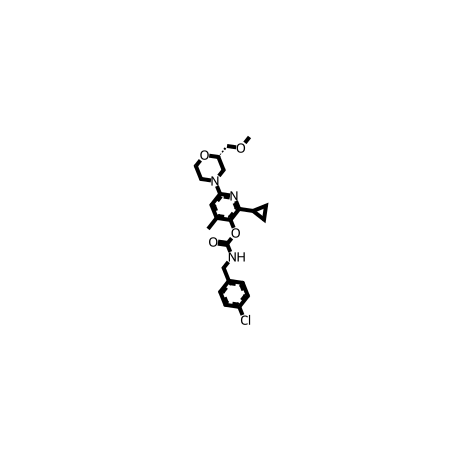 COC[C@@H]1CN(c2cc(C)c(OC(=O)NCc3ccc(Cl)cc3)c(C3CC3)n2)CCO1